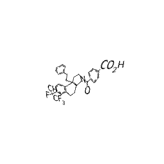 CC(F)(c1ccc2c(c1)CCC1N(C(=O)c3ccc(C(=O)O)cc3)CCC21CCc1ccccc1)C(F)(F)F